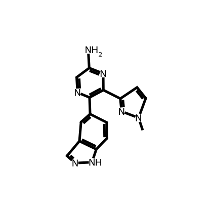 Cn1ccc(-c2nc(N)cnc2-c2ccc3[nH]ncc3c2)n1